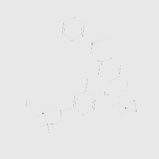 CC1(C)OB(c2cccc(C[C@H]3[C@@H](NS(=O)(=O)C4(F)CC4)[C@@H](F)CCN3OC(=O)c3ccccc3)c2)OC1(C)C